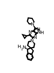 N[C@@H]1c2ccccc2CC12CCN(c1nc3[nH]nc(N4CCCCC4)c3nc1C1CC1)CC2